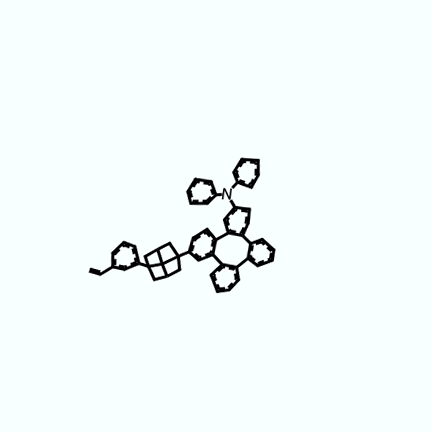 C=Cc1cccc(C23CC4CC5(c6ccc7c(c6)-c6ccccc6-c6ccccc6-c6ccc(N(c8ccccc8)c8ccccc8)cc6-7)CC(C2)C435)c1